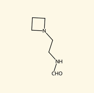 O=CNCCN1CCC1